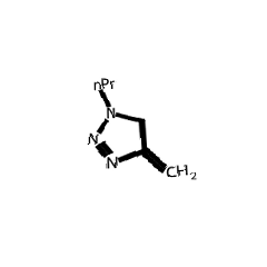 C=C1CN(CCC)N=N1